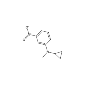 CN(c1cccc([N+](=O)[O-])c1)C1CC1